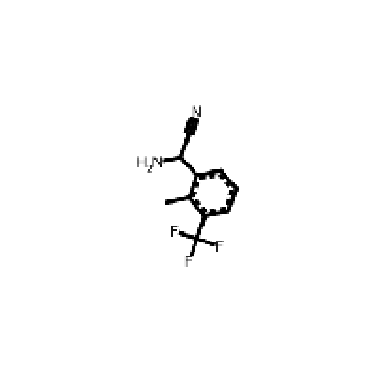 Cc1c(C(N)C#N)cccc1C(F)(F)F